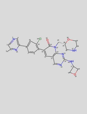 Cc1cncc(-c2ccc(-c3cc4cnc(NC5COC5)nc4n(C[C@H]4CNCCO4)c3=O)c(Cl)c2)n1